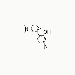 CN(C)c1cc[c]c(-c2ccc(N(C)C)cc2O)c1